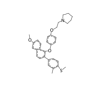 COc1ccc2c(Oc3ccc(OCCN4CCCCC4)cc3)c(-c3ccc(SC)c(C)c3)ccc2c1